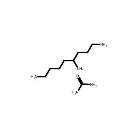 NC(N)=O.NCCCCC(N)CCCN